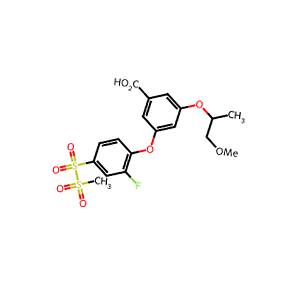 COCC(C)Oc1cc(Oc2ccc(S(=O)(=O)S(C)(=O)=O)cc2F)cc(C(=O)O)c1